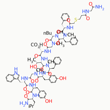 CCCC[C@@H](C(=O)N(C)CC(=O)N[C@@H](CC(=O)O)C(=O)N[C@H](C(=O)N(C)[C@@H](Cc1ccccc1)C(=O)N[C@@H](Cc1ccc(O)cc1)C(=O)N(C)CC(=O)N[C@@H](Cc1c[nH]c2ccccc12)C(=O)N[C@@H](Cc1ccc(O)cc1)C(=O)N[C@@H](CC(C)C)C(N)=O)[C@@H](C)O)N(C)C(=O)[C@H](Cc1ccccc1)N(C)C(=O)[C@H](Cc1ccccc1)NC(=O)CSCCC(=O)NCC(N)=O